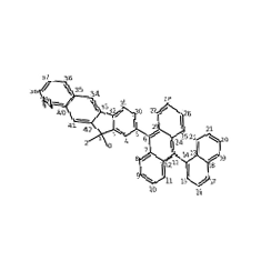 CC1(C)c2cc(-c3c4ccccc4c(-c4cccc5ccccc45)c4ccccc34)ccc2-c2cc3cccnc3cc21